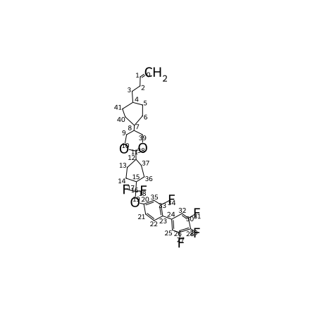 C=CCCC1CCC(C2COC(C3CCC(C(F)(F)Oc4ccc(-c5cc(F)c(F)c(F)c5)c(F)c4)CC3)OC2)CC1